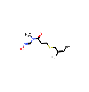 CCCC=C(C)CSCCC(=O)N(C)C=NO